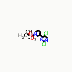 CC(C)(C)OC(=O)N1CCC=C(c2nc(Cl)ncc2Cl)C1